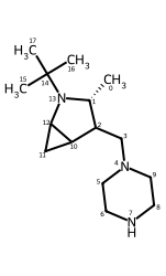 C[C@@H]1C(CN2CCNCC2)C2CC2N1C(C)(C)C